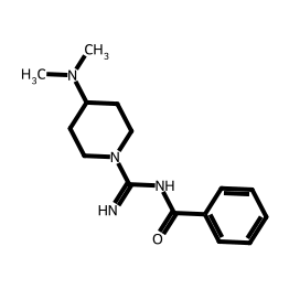 CN(C)C1CCN(C(=N)NC(=O)c2ccccc2)CC1